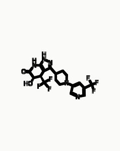 O=C1Nc2[nH]nc(C3CCN(c4cncc(C(F)(F)F)c4)CC3)c2[C@@H](C(F)(F)F)[C@H]1O